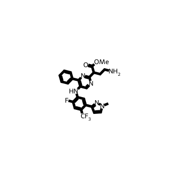 COC(=O)C(CCN)c1ncc(Nc2cc(-c3ccn(C)n3)c(C(F)(F)F)cc2F)c(-c2ccccc2)n1